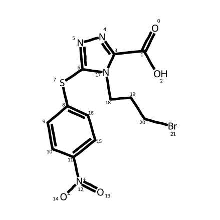 O=C(O)c1nnc(Sc2ccc([N+](=O)[O-])cc2)n1CCCBr